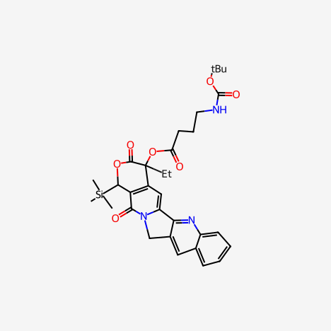 CCC1(OC(=O)CCCNC(=O)OC(C)(C)C)C(=O)OC([Si](C)(C)C)c2c1cc1n(c2=O)Cc2cc3ccccc3nc2-1